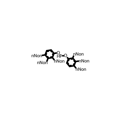 CCCCCCCCCc1ccc(OPOc2ccc(CCCCCCCCC)c(CCCCCCCCC)c2CCCCCCCCC)c(CCCCCCCCC)c1CCCCCCCCC